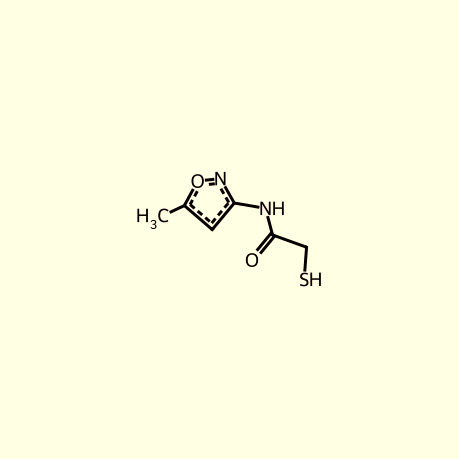 Cc1cc(NC(=O)CS)no1